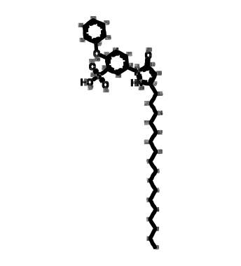 CCCCCCCCCCCCCCCCCc1cc(=O)n(-c2ccc(Oc3ccccc3)c(S(=O)(=O)O)c2)[nH]1